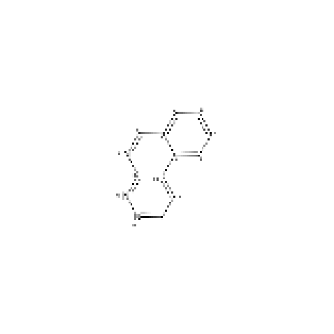 c1ccc2c(c1)cnc1nnccc12